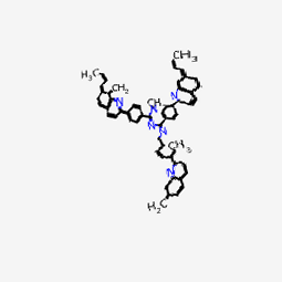 C=N/C(=N\C(=N/CC/C=C\C(=C/C)C1=NC2CC(=C)C=CC2C=C1)c1ccc(-c2ccc3c(n2)C/C(=C\C=C/C)CC3)cc1)c1ccc(-c2ccc3cc/c(=C/C=C\C)c(=C)c3n2)cc1